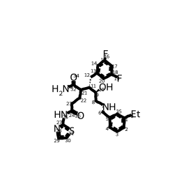 CCc1cccc(CNC[C@H](O)[C@@H](Cc2cc(F)cc(F)c2)C(CCC(=O)Nc2nccs2)C(N)=O)c1